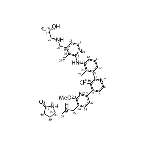 COc1nc(-c2ccnc(-c3cccc(Nc4nccc(CNC[C@H](C)O)c4F)c3C)c2Cl)ccc1CNC[C@@H]1CCC(=O)N1